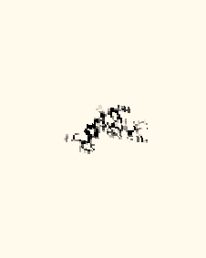 Cc1ncsc1-c1ccc(CNC(=O)[C@@H]2C[C@@H](O)CN2C(=O)C(NC(=O)C(C)N)C(C)(C)C)cc1